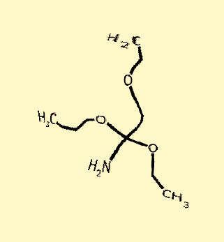 [CH2]COCC(N)(OCC)OCC